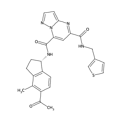 CC(=O)c1ccc2c(c1C)CC[C@@H]2NC(=O)c1cc(C(=O)NCc2ccsc2)nc2ccnn12